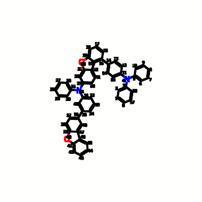 c1ccc(N(c2ccccc2)c2ccc(-c3cccc4oc5cc(N(c6ccccc6)c6cccc(-c7ccc8oc9ccccc9c8c7)c6)ccc5c34)cc2)cc1